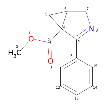 COC(=O)C12CC1CN=C2c1ccccc1